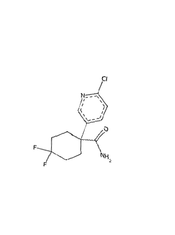 NC(=O)C1(c2ccc(Cl)nc2)CCC(F)(F)CC1